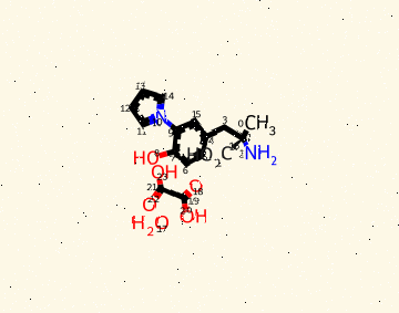 C[C@](N)(Cc1ccc(O)c(-n2cccc2)c1)C(=O)O.O.O=C(O)C(=O)O